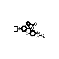 CCN(CC)c1ccc2c(c1)Oc1ccc(NCOC)cc1C21OC(=O)c2ccccc21